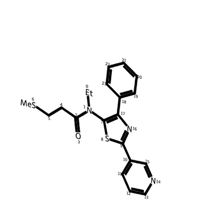 CCN(C(=O)CCSC)c1sc(-c2cccnc2)nc1-c1ccccc1